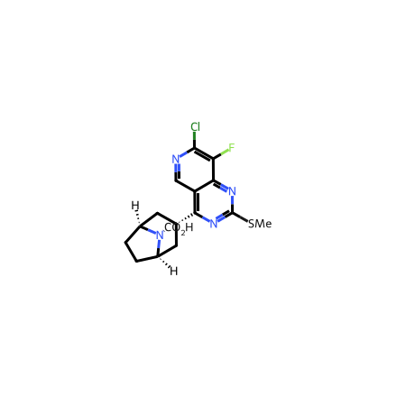 CSc1nc([C@@H]2C[C@H]3CC[C@@H](C2)N3C(=O)O)c2cnc(Cl)c(F)c2n1